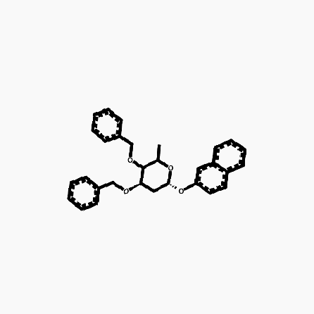 CC1O[C@H](Oc2ccc3ccccc3c2)C[C@@H](OCc2ccccc2)C1OCc1ccccc1